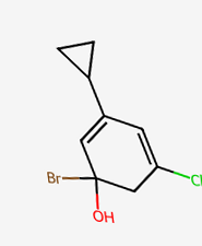 OC1(Br)C=C(C2CC2)C=C(Cl)C1